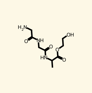 CC(NC(=O)CNC(=O)CN)C(=O)OCCO